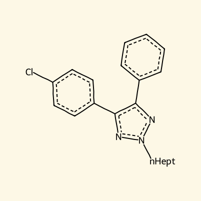 CCCCCCCn1nc(-c2ccccc2)c(-c2ccc(Cl)cc2)n1